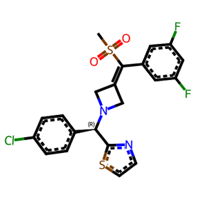 CS(=O)(=O)C(=C1CN([C@H](c2ccc(Cl)cc2)c2nccs2)C1)c1cc(F)cc(F)c1